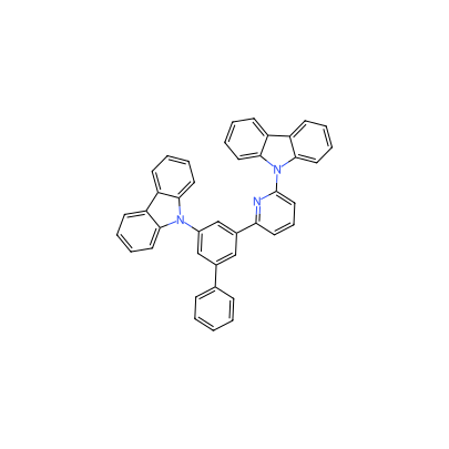 c1ccc(-c2cc(-c3cccc(-n4c5ccccc5c5ccccc54)n3)cc(-n3c4ccccc4c4ccccc43)c2)cc1